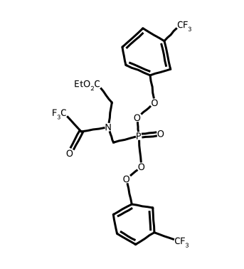 CCOC(=O)CN(CP(=O)(OOc1cccc(C(F)(F)F)c1)OOc1cccc(C(F)(F)F)c1)C(=O)C(F)(F)F